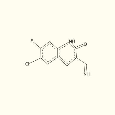 N=Cc1cc2cc(Cl)c(F)cc2[nH]c1=O